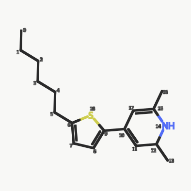 CCCCCCc1ccc(C2=CC(C)NC(C)=C2)s1